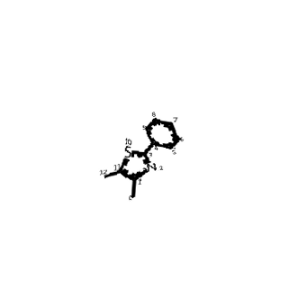 Cc1nc(-c2[c]cccc2)sc1C